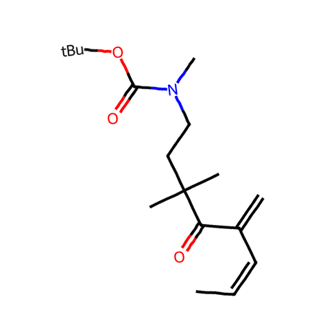 C=C(/C=C\C)C(=O)C(C)(C)CCN(C)C(=O)OC(C)(C)C